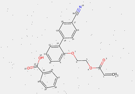 C=CC(=O)OCCOc1ccccc1-c1ccc(C#N)cc1.O=C(O)c1ccccc1